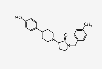 Cc1ccc(CN2CCC(N3CCC(c4ccc(O)cc4)CC3)C2=O)cc1